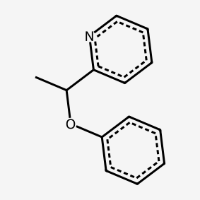 CC(Oc1ccccc1)c1ccccn1